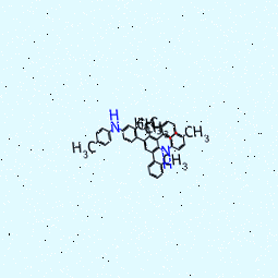 Cc1ccc(Nc2ccc(-c3cc(-c4ccccc4C)c(Nc4ccc(C)cc4)c(-c4ccccc4C)c3C)c(C)c2)cc1